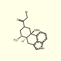 CO[C@]12CC(C(=O)CBr)CN(C)[C@@H]1Cc1c[nH]c3cccc2c13